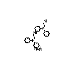 Cl.Cl.[Ni][CH2]CP(c1ccccc1)c1ccccc1.[Ni][CH2]CP(c1ccccc1)c1ccccc1